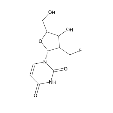 O=c1ccn([C@@H]2OC(CO)C(O)C2CF)c(=O)[nH]1